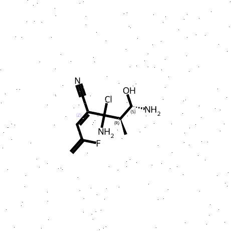 C=C(F)/C=C(/C#N)C(N)(Cl)[C@H](C)[C@@H](N)O